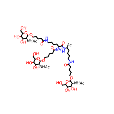 CC(=O)N[C@H]1C(O)[C@@H](O)C(CO)O[C@H]1OCCCCC(=O)NCCCCC(NC(=O)C(CCCCNC(=O)CCCCO[C@@H]1OC(CO)[C@H](O)C(O)[C@@H]1NC(C)=O)NC(=O)CCCCO[C@@H]1OC(CO)[C@H](O)C(O)[C@@H]1NC(C)=O)C(C)=O